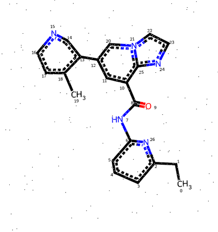 CCc1cccc(NC(=O)c2cc(-c3cnccc3C)cn3ccnc23)n1